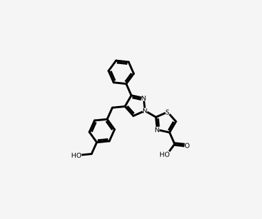 O=C(O)c1csc(-n2cc(Cc3ccc(CO)cc3)c(-c3ccccc3)n2)n1